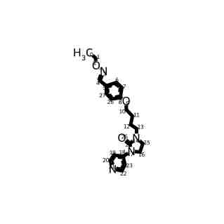 CCON=Cc1ccc(OCCCCN2CCN(c3ccncc3)C2=O)cc1